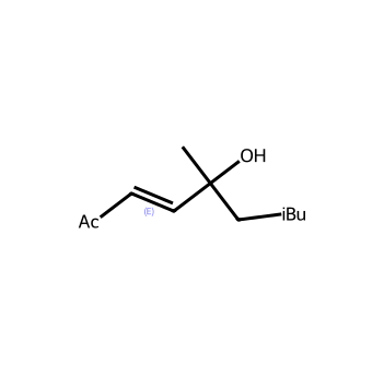 CCC(C)CC(C)(O)/C=C/C(C)=O